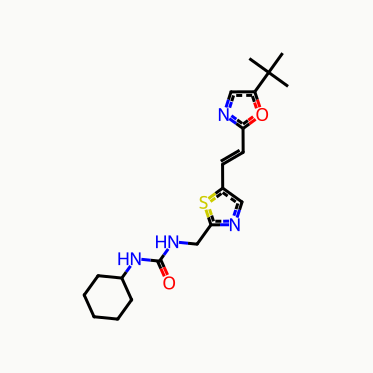 CC(C)(C)c1cnc(C=Cc2cnc(CNC(=O)NC3CCCCC3)s2)o1